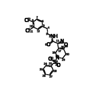 O=C(NCCc1ccc(Cl)c(Cl)c1)c1noc2c1CN(S(=O)(=O)c1ccccc1)CC2